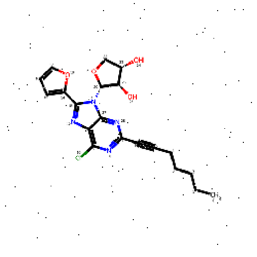 CCCCCC#Cc1nc(Cl)c2nc(-c3ccco3)n([C@@H]3OC[C@@H](O)[C@H]3O)c2n1